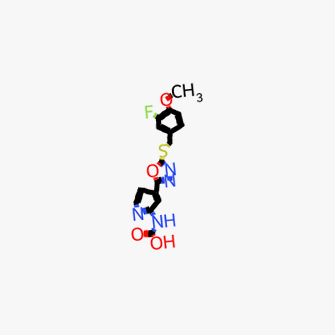 COc1ccc(CSc2nnc(-c3ccnc(NC(=O)O)c3)o2)cc1F